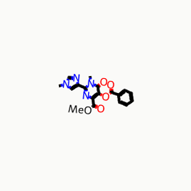 COC(=O)c1nc(-c2cn(C)cn2)n(C)c(=O)c1OC(=O)c1ccccc1